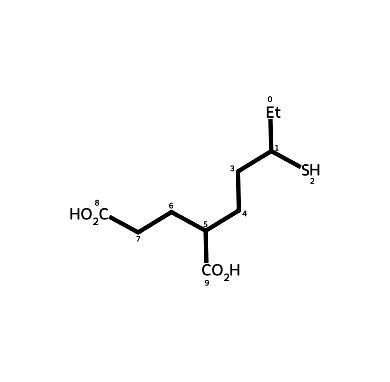 CCC(S)CCC(CCC(=O)O)C(=O)O